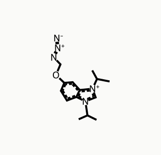 CC(C)n1c[n+](C(C)C)c2cc(OCN=[N+]=[N-])ccc21